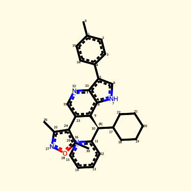 Cc1ccc(-c2c[nH]c3c([C@H](c4ccccn4)C4CCCCC4)c(-c4c(C)noc4C)cnc23)cc1